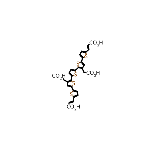 O=C(O)/C=C/c1ccc(-c2cc(CC(=O)O)c(-c3ccc(-c4sc(-c5ccc(/C=C/C(=O)O)s5)cc4CC(=O)O)s3)s2)s1